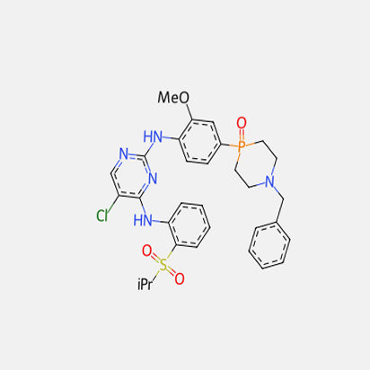 COc1cc(P2(=O)CCN(Cc3ccccc3)CC2)ccc1Nc1ncc(Cl)c(Nc2ccccc2S(=O)(=O)C(C)C)n1